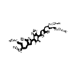 CCCCCCCCCCCCC(CCCCCCCCCC)Cc1cc(-c2c(F)c(F)c(-c3cc(CC(CCCCCCCCCC)CCCCCCCCCCCC)c(Br)s3)c3nonc23)sc1Br